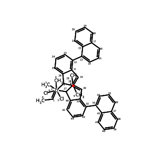 C[CH]=[Zr]([CH3])([CH3])([Cl])([Cl])([CH]1C(C)=Cc2c(-c3cccc4ccccc34)cccc21)[CH]1C(C)=Cc2c(-c3cccc4ccccc34)cccc21